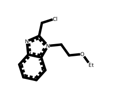 CCOCCn1c(CCl)nc2ccccc21